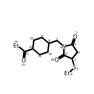 CCSC1CC(=O)N(CC2CCC(C(=O)CC)CC2)C1=O